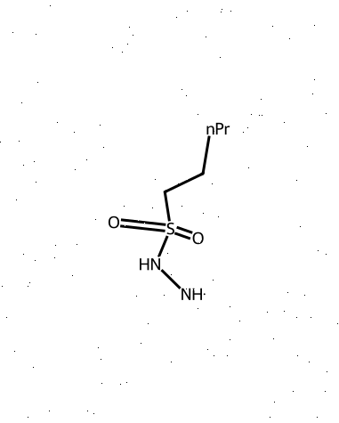 CCCCCS(=O)(=O)N[NH]